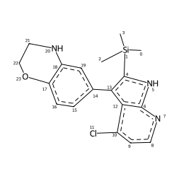 C[Si](C)(C)c1[nH]c2nccc(Cl)c2c1-c1ccc2c(c1)NCCO2